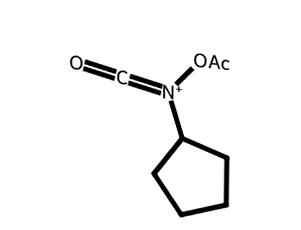 CC(=O)O[N+](=C=O)C1CCCC1